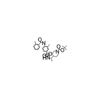 Cc1ccccc1C(=O)N(C)c1ccc(S(=O)(=O)N[C@H](C)C2CCN(C(=O)OC(C)(C)C)CC2)cc1C